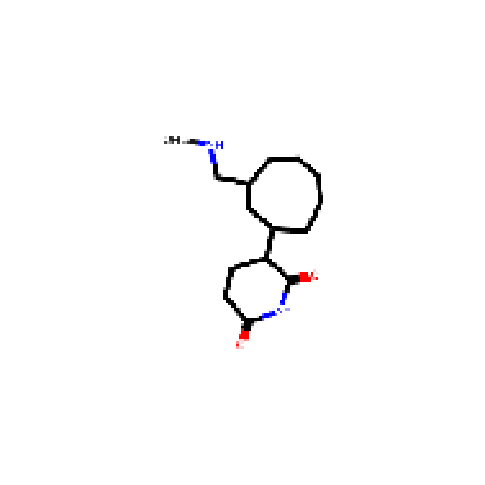 O=CNCC1CCCCCC(C2CCC(=O)NC2=O)C1